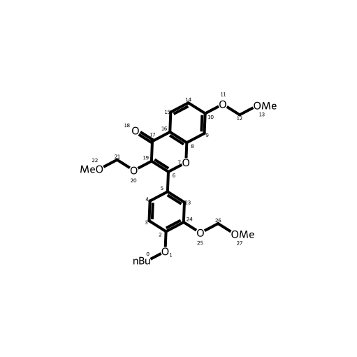 CCCCOc1ccc(-c2oc3cc(OCOC)ccc3c(=O)c2OCOC)cc1OCOC